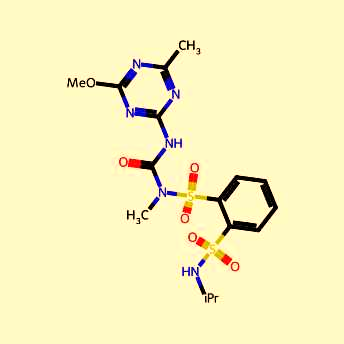 COc1nc(C)nc(NC(=O)N(C)S(=O)(=O)c2ccccc2S(=O)(=O)NC(C)C)n1